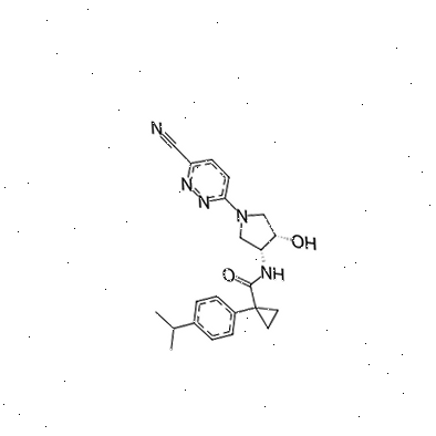 CC(C)c1ccc(C2(C(=O)N[C@@H]3CN(c4ccc(C#N)nn4)C[C@@H]3O)CC2)cc1